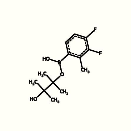 Cc1c(B(O)OC(C)(C)C(C)(C)O)ccc(F)c1F